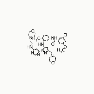 COc1cc(C(=O)Nc2ccc(C)c(Nc3cc(CN4CCOCC4)nn3-c3cc(NCCN4CCOCC4)ncn3)c2)cc(Cl)n1